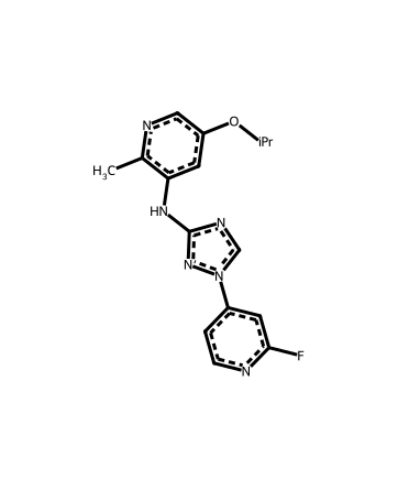 Cc1ncc(OC(C)C)cc1Nc1ncn(-c2ccnc(F)c2)n1